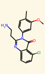 COc1cc(-n2c(CCN)nc3cccc(Cl)c3c2=O)ccc1C